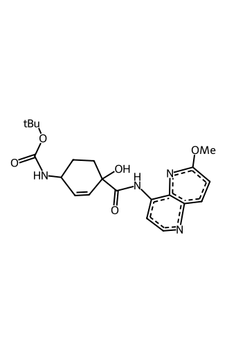 COc1ccc2nccc(NC(=O)C3(O)C=CC(NC(=O)OC(C)(C)C)CC3)c2n1